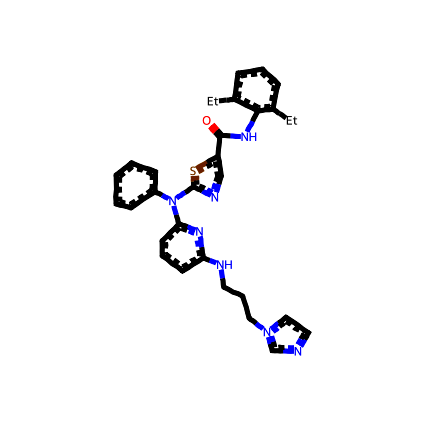 CCc1cccc(CC)c1NC(=O)c1cnc(N(c2ccccc2)c2cccc(NCCCn3ccnc3)n2)s1